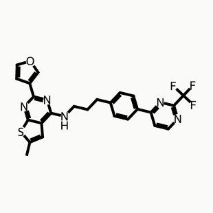 Cc1cc2c(NCCCc3ccc(-c4ccnc(C(F)(F)F)n4)cc3)nc(-c3ccoc3)nc2s1